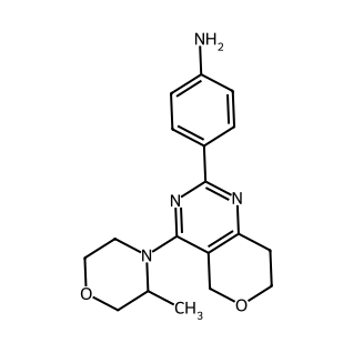 CC1COCCN1c1nc(-c2ccc(N)cc2)nc2c1COCC2